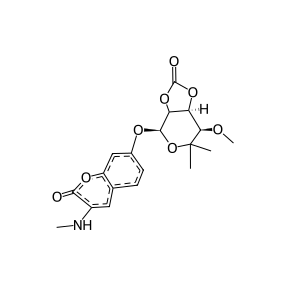 CNc1cc2ccc(O[C@@H]3OC(C)(C)[C@H](OC)[C@@H]4OC(=O)OC34)cc2oc1=O